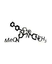 CON=C1CC(c2noc(C3CCN(C)CC3)n2)N(C(=O)c2ccc(-c3ccccc3)cc2)C1